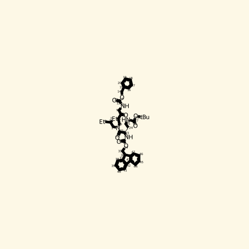 CCC(CC)CN(CCC(=O)CNC(=O)OCc1ccccc1)C(=O)[C@H](CCNC(=O)OC(C)(C)C)NC(=O)OCC1c2ccccc2-c2ccccc21